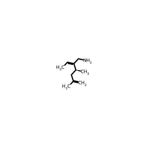 C=C(C)C[C@H](C)/C(=C\C)CN